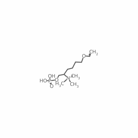 C=COCCCCC(COP(=O)(O)O)[N+](C)(C)C